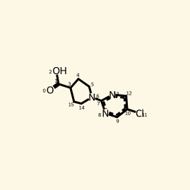 O=C(O)C1CCN(c2ncc(Cl)cn2)CC1